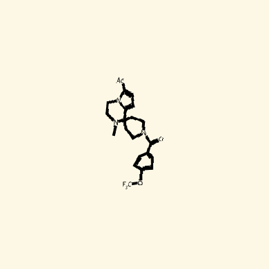 CC(=O)c1ccc2n1CCN(C)C21CCN(C(=O)c2ccc(OC(F)(F)F)cc2)CC1